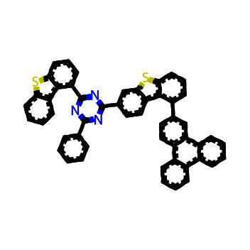 c1ccc(-c2nc(-c3ccc4c(c3)sc3cccc(-c5ccc6c7ccccc7c7ccccc7c6c5)c34)nc(-c3cccc4sc5ccccc5c34)n2)cc1